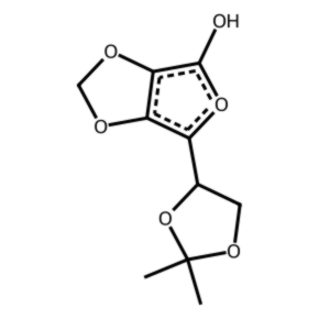 CC1(C)OCC(c2oc(O)c3c2OCO3)O1